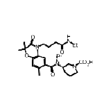 CCNC(=O)CCCN1C(=O)C(C)(C)Oc2cc(C)c(C(=O)N(C(C)C)[C@@H]3CCCN(C(=O)O)C3)cc21